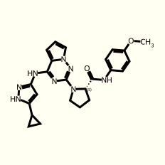 COc1ccc(NC(=O)[C@@H]2CCCN2c2nc(Nc3cc(C4CC4)[nH]n3)c3cccn3n2)cc1